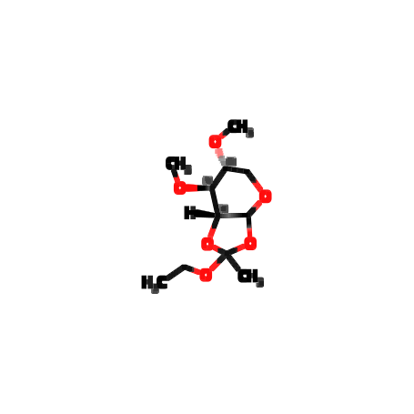 CCOC1(C)OC2OC[C@@H](OC)[C@H](OC)[C@H]2O1